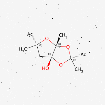 CC(=O)[C@@]1(C)O[C@@]2(C)O[C@@](C)(C(C)=O)C[C@@]2(O)O1